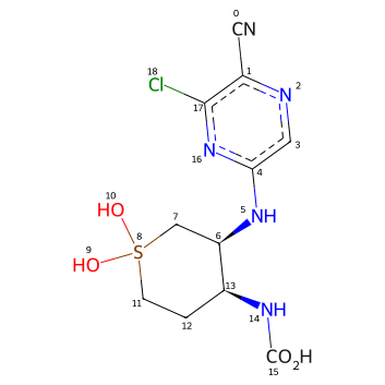 N#Cc1ncc(N[C@@H]2CS(O)(O)CC[C@@H]2NC(=O)O)nc1Cl